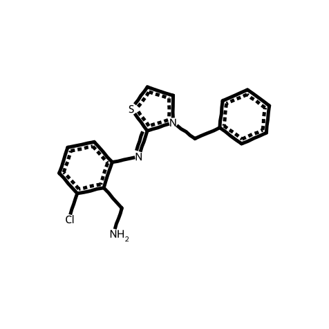 NCc1c(Cl)cccc1N=c1sccn1Cc1ccccc1